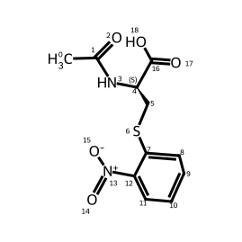 CC(=O)N[C@H](CSc1ccccc1[N+](=O)[O-])C(=O)O